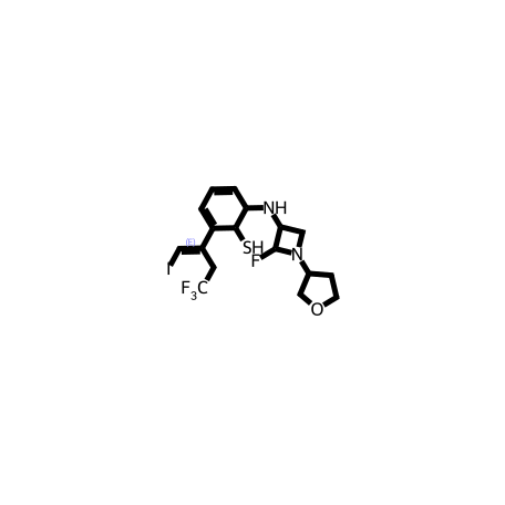 FC1C(NC2C=CC=C(/C(=C/I)CC(F)(F)F)C2S)CN1C1CCOC1